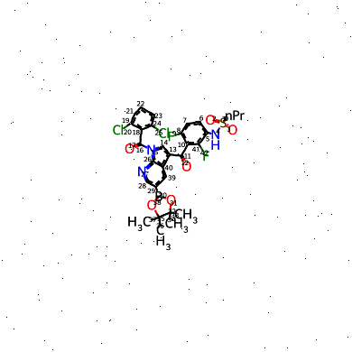 CCCS(=O)(=O)Nc1ccc(F)c(C(=O)c2cn(C(=O)c3c(Cl)cccc3Cl)c3ncc(B4OC(C)(C)C(C)(C)O4)cc23)c1F